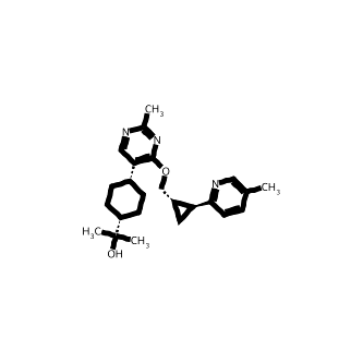 Cc1ccc([C@H]2C[C@@H]2COc2nc(C)ncc2[C@H]2CC[C@@H](C(C)(C)O)CC2)nc1